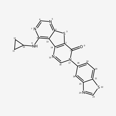 O=c1c2sc3ncnc(NC4CC4)c3c2ncn1-c1ccc2scnc2c1